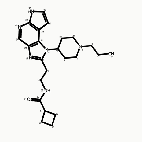 N#CCCN1CCC(n2c(CCNC(=O)C3CCC3)nc3cnc4[nH]ccc4c32)CC1